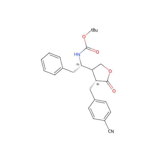 CC(C)(C)OC(=O)N[C@@H](Cc1ccccc1)C1COC(=O)[C@@H]1Cc1ccc(C#N)cc1